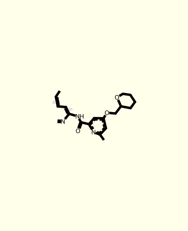 C=N/C(=C\C=C/C)NC(=O)c1cc(OCC2CCCCO2)cc(C)n1